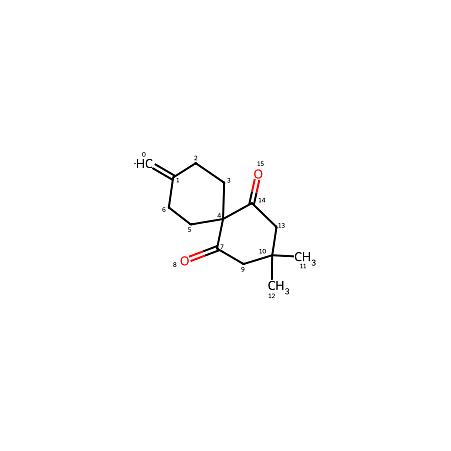 [CH]=C1CCC2(CC1)C(=O)CC(C)(C)CC2=O